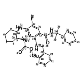 CC(C)(C)OC(=O)N[C@H]1CCCC[C@H]1Nc1nc(NCc2ccccc2)c(C(=O)NC(C)(C)c2ccccc2)cc1F